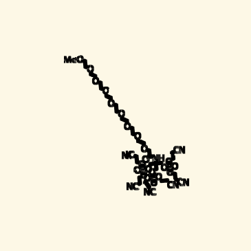 COCCOCCOCCOCCOCCOCCOCCOCCOCC(=O)NC(COP(=O)(OCCC#N)OCCC#N)(COP(=O)(OCCC#N)OCCC#N)COP(=O)(OCCC#N)OCCC#N